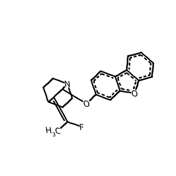 CC(F)=C1C2CCN(CC2)C1Oc1ccc2c(c1)oc1ccccc12